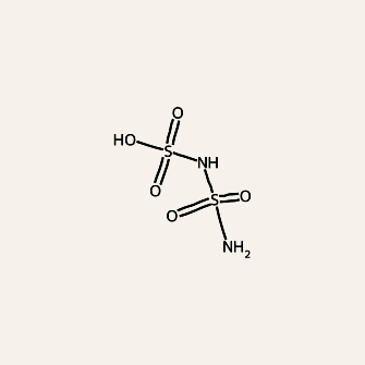 NS(=O)(=O)NS(=O)(=O)O